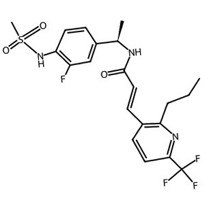 CCCc1nc(C(F)(F)F)ccc1C=CC(=O)N[C@H](C)c1ccc(NS(C)(=O)=O)c(F)c1